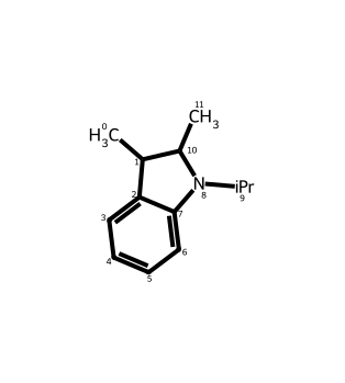 CC1c2ccccc2N(C(C)C)C1C